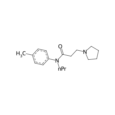 CCCN(C(=O)CCN1CCCC1)c1ccc(C)cc1